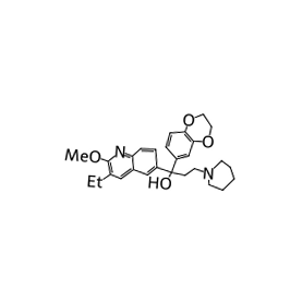 CCc1cc2cc(C(O)(CCN3CCCCC3)c3ccc4c(c3)OCCO4)ccc2nc1OC